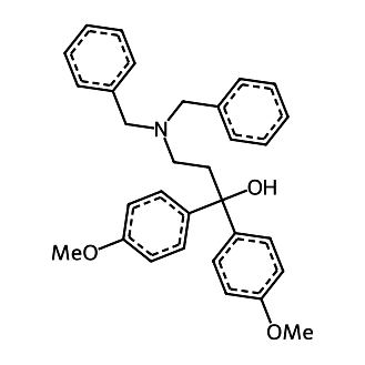 COc1ccc(C(O)(CCN(Cc2ccccc2)Cc2ccccc2)c2ccc(OC)cc2)cc1